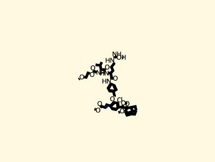 COCCOC(=O)NC(C(=O)NC(CCCNC(N)O)C(=O)Nc1ccc(COc2c(/C=C/C(=O)OC)ccc(C3(OC)OOC34C3CC5CC(C3)CC4C5)c2Cl)cc1)C(C)C